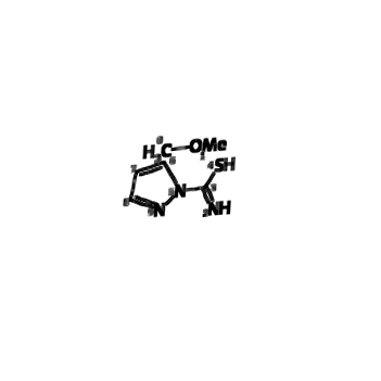 COC.N=C(S)n1cccn1